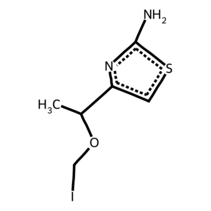 CC(OCI)c1csc(N)n1